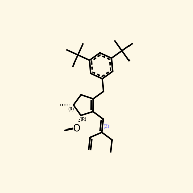 C=C/C(=C\C1=C(Cc2cc(C(C)(C)C)cc(C(C)(C)C)c2)C[C@@H](C)[C@H]1OC)CC